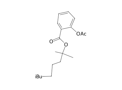 CCC(C)CCCC(C)(C)OC(=O)c1ccccc1OC(C)=O